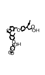 CC#CC(CC(=O)O)c1ccc(OCc2ccc3scc(-c4ccc(OCC5(O)CCS(=O)(=O)CC5)cc4C)c3c2)cc1